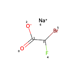 O=C([O-])C(F)Br.[Na+]